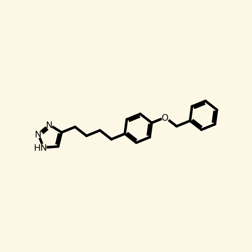 c1ccc(COc2ccc(CCCCc3c[nH]nn3)cc2)cc1